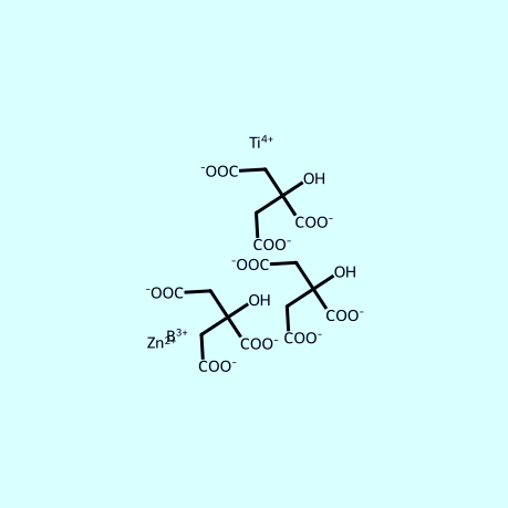 O=C([O-])CC(O)(CC(=O)[O-])C(=O)[O-].O=C([O-])CC(O)(CC(=O)[O-])C(=O)[O-].O=C([O-])CC(O)(CC(=O)[O-])C(=O)[O-].[B+3].[Ti+4].[Zn+2]